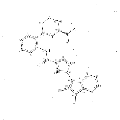 CC(C)[C@H]1CN(c2ccncc2NC(=O)c2csc(-n3c(=O)n(C)c4ccccc43)n2)CCN1